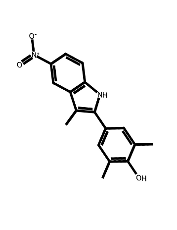 Cc1cc(-c2[nH]c3ccc([N+](=O)[O-])cc3c2C)cc(C)c1O